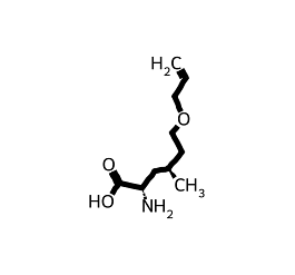 C=CCOCC[C@@H](C)C[C@H](N)C(=O)O